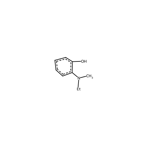 CCN(C)c1ccccc1O